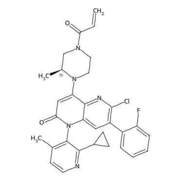 C=CC(=O)N1CCN(c2cc(=O)n(-c3c(C)ccnc3C3CC3)c3cc(-c4ccccc4F)c(Cl)nc23)[C@@H](C)C1